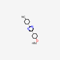 CCCCO[C@H]1CC[C@H](c2cnc([C@H]3CC[C@H](C#N)CC3)nc2)CC1